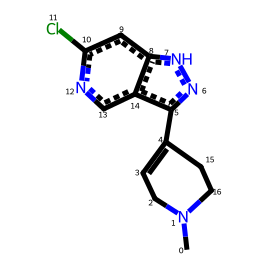 CN1CC=C(c2n[nH]c3cc(Cl)ncc23)CC1